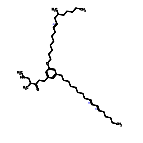 CCCCC/C=C/C=C/CCCCCCCCc1cc(CCC(=O)C(C)CNC)cc(OCCCCCCC/C=C/CC(C)CCCCC)c1